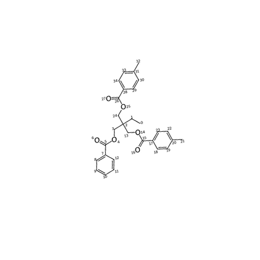 CCC(COC(=O)c1ccccc1)(COC(=O)c1ccc(C)cc1)COC(=O)c1ccc(C)cc1